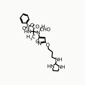 CC(NS(=O)(=O)c1ccccc1)(C(=O)O)N(C=O)c1cc(OCCCNC2NCCN2)no1